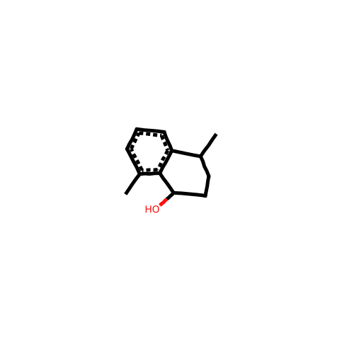 Cc1cccc2c1C(O)CCC2C